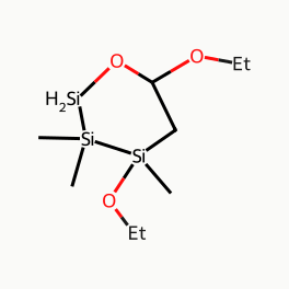 CCOC1C[Si](C)(OCC)[Si](C)(C)[SiH2]O1